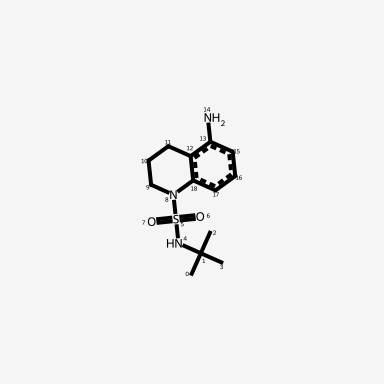 CC(C)(C)NS(=O)(=O)N1CCCc2c(N)cccc21